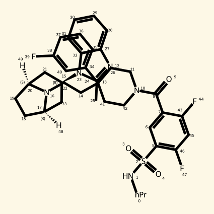 CCCNS(=O)(=O)c1cc(C(=O)N2CCC(CCN3[C@@H]4CC[C@H]3C[C@@H](n3c(C)nc5ccccc53)C4)(c3cccc(F)c3)CC2)c(F)cc1F